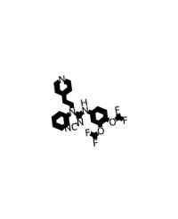 N#CN=C(Nc1ccc(OC(F)F)c(OC(F)F)c1)N(CCc1ccncc1)c1ccccc1